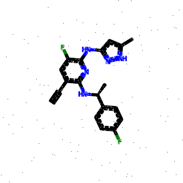 C#Cc1cc(F)c(Nc2cc(C)[nH]n2)nc1N[C@@H](C)c1ccc(F)cc1